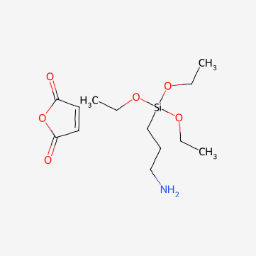 CCO[Si](CCCN)(OCC)OCC.O=C1C=CC(=O)O1